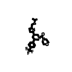 CC(C)SCC1=CCC(C2CC(c3ccc(C(F)(F)F)cc3)CN(C(=O)N3CCOCC3)C2)=N1